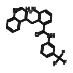 Nc1cccc(C(=O)Nc2cccc(C(F)(F)F)c2)c1Cc1ccnc2ccccc12